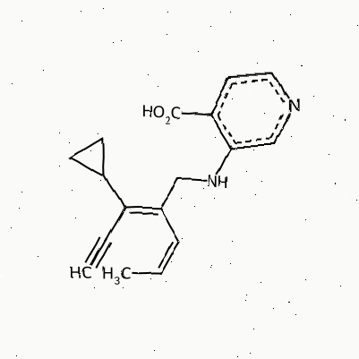 C#C/C(=C(\C=C/C)CNc1cnccc1C(=O)O)C1CC1